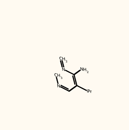 C=N/C(N)=C(\C=N/C)C(C)C